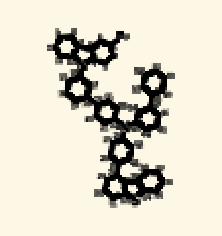 Fc1ccc2c(c1)c1ccccc1n2-c1cccc(-c2ccc(N(c3ccc(-c4cccc5sc6ccccc6c45)cc3)c3cccc(-c4ccccc4)c3)cc2)c1